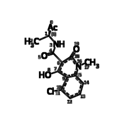 CC(=O)[C@H](C)NC(=O)c1c(O)c2c(Cl)cccc2n(C)c1=O